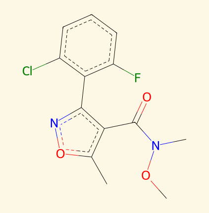 CON(C)C(=O)c1c(-c2c(F)cccc2Cl)noc1C